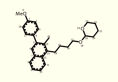 COc1ccc(-c2cc3ccccc3c(CCCCOC3CCCCO3)c2C)cc1